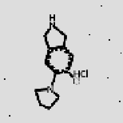 Cl.Clc1cc2c(cc1N1CCCC1)CNC2